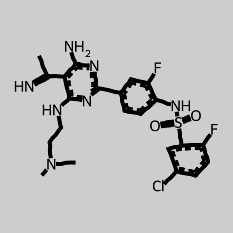 CC(=N)c1c(N)nc(-c2ccc(NS(=O)(=O)c3cc(Cl)ccc3F)c(F)c2)nc1NCCN(C)C